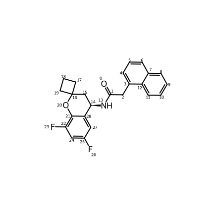 O=C(Cc1cccc2ccccc12)N[C@@H]1CC2(CCC2)Oc2c(F)cc(F)cc21